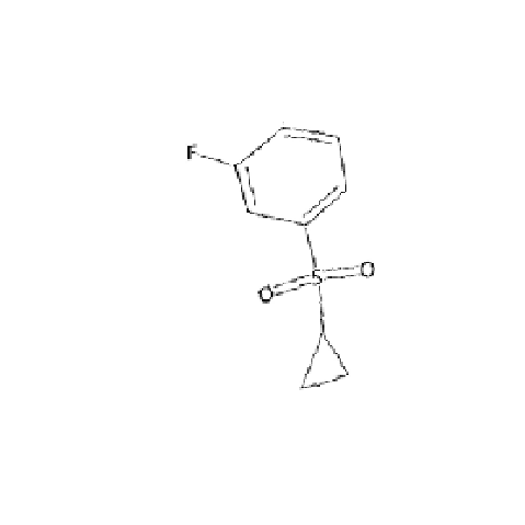 O=S(=O)(c1cc[c]c(F)c1)C1CC1